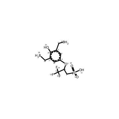 BCc1cc(OC(CS(=O)(=O)O)C(F)(F)F)cc(CB)c1O